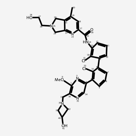 COc1nc(-c2cccc(-c3cccc(NC(=O)c4cc(C)c5c(n4)CN(CCO)C5)c3Cl)c2Cl)cnc1CN1CC(O)C1